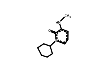 CNc1cccn(C2CCCCC2)c1=O